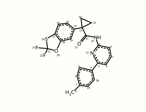 Cc1ccc(-c2cccc(NC(=O)C3(c4ccc5c(c4)OC(F)(F)S5)CC3)n2)cc1